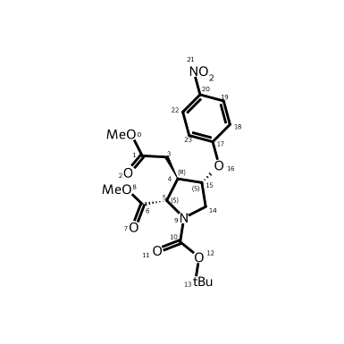 COC(=O)C[C@@H]1[C@@H](C(=O)OC)N(C(=O)OC(C)(C)C)C[C@H]1Oc1ccc([N+](=O)[O-])cc1